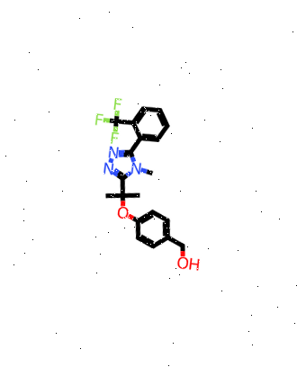 Cn1c(-c2ccccc2C(F)(F)F)nnc1C(C)(C)Oc1ccc(CO)cc1